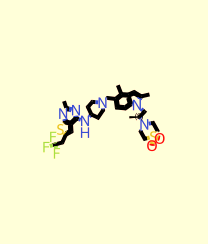 Cc1nc(NC2CCN(Cc3ccc4c(cc(C)n4C[C@H](C)N4CCS(=O)(=O)CC4)c3C)CC2)c2cc(CC(F)(F)F)sc2n1